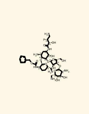 NC[C@@H]1CC[C@@H](NC(=O)OCc2ccccc2)[C@@H](O[C@H]2[C@H](O[C@@H]3O[C@H](CO)[C@@H](O[C@H]4O[C@@H](CN)[C@@H](O)[C@H](O)[C@H]4N)[C@H]3O)[C@@H](O)[C@H](NC(=O)[C@@H](O)[C@H](F)CN)C[C@@H]2N)O1